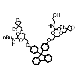 CCCCNC(=O)OC(COCC1(CC)COC1)COc1ccc(C2(c3ccc(OCC(COCC4(CC)COC4)OC(=O)NCCO)cc3)c3ccccc3-c3ccccc32)cc1